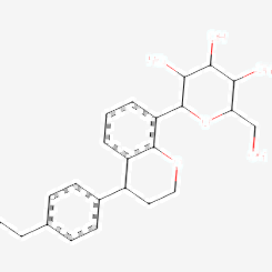 CCc1ccc(C2CCOc3c2cccc3C2OC(CO)C(O)C(O)C2O)cc1